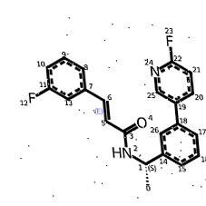 C[C@H](NC(=O)/C=C/c1cccc(F)c1)c1cccc(-c2ccc(F)nc2)c1